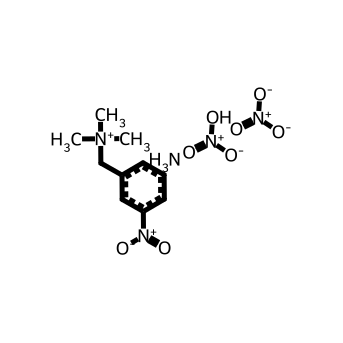 C[N+](C)(C)Cc1cccc([N+](=O)[O-])c1.N.O=[N+]([O-])O.O=[N+]([O-])[O-]